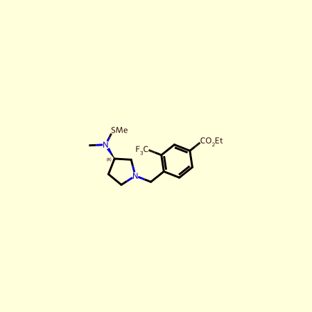 CCOC(=O)c1ccc(CN2CC[C@@H](N(C)SC)C2)c(C(F)(F)F)c1